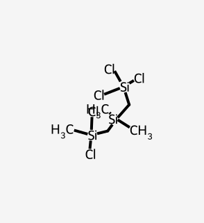 C[Si](Cl)(Cl)C[Si](C)(C)C[Si](Cl)(Cl)Cl